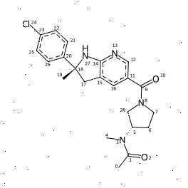 CC(=O)N(C)[C@H]1CCN(C(=O)c2cnc3c(c2)C[C@](C)(c2ccc(Cl)cc2)N3)C1